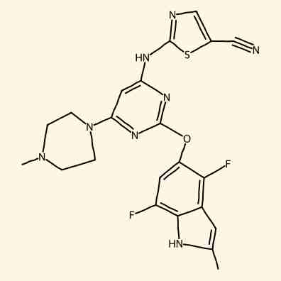 Cc1cc2c(F)c(Oc3nc(Nc4ncc(C#N)s4)cc(N4CCN(C)CC4)n3)cc(F)c2[nH]1